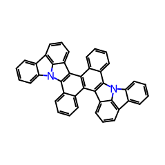 c1ccc2c(c1)c1c(c3ccccc3c3c1c1cccc4c5ccccc5n3c41)c1c3cccc4c5ccccc5n(c43)c21